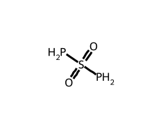 O=S(=O)(P)P